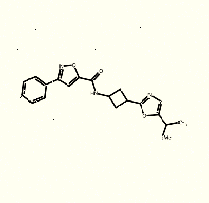 CSC(C)c1nnc(C2CC(NC(=O)c3cc(-c4ccccc4)no3)C2)o1